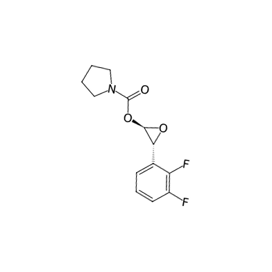 O=C(O[C@H]1O[C@@H]1c1cccc(F)c1F)N1CCCC1